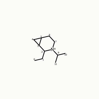 CCC1C2CC2CCN1C(C)C